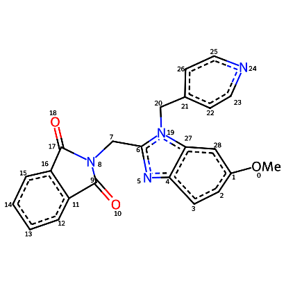 COc1ccc2nc(CN3C(=O)c4ccccc4C3=O)n(Cc3ccncc3)c2c1